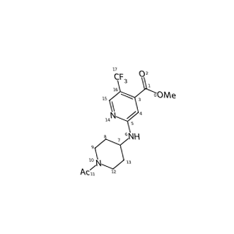 COC(=O)c1cc(NC2CCN(C(C)=O)CC2)ncc1C(F)(F)F